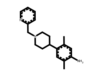 Cc1cc(C2CCN(Cc3ccccn3)CC2)c(C)cc1N